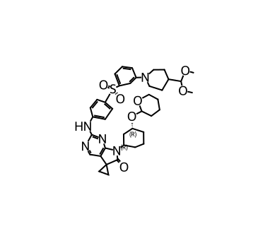 COC(OC)C1CCN(c2cccc(S(=O)(=O)c3ccc(Nc4ncc5c(n4)N([C@@H]4CCC[C@@H](OC6CCCCO6)C4)C(=O)C54CC4)cc3)c2)CC1